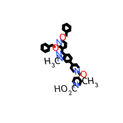 C[C@@H]1CN(C(=O)O)CC[C@@H]1C(=O)N1CC=C(c2ccc3c(-c4ccc(OCc5ccccc5)nc4OCc4ccccc4)nn(C)c3c2)CC1